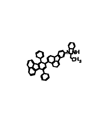 CCC1NC2C=CC=CC2N1c1ccc2c(c1)C1=CCCC3=C1C2CC=C3C1C=C(C2C=CC=CC2)C2=C(c3cccc4cccc2c34)C1C1C=CC=CC1